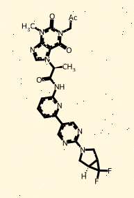 CC(=O)Cn1c(=O)c2c(ncn2[C@@H](C)C(=O)Nc2cccc(-c3cnc(N4CC5[C@H](C4)C5(F)F)nc3)n2)n(C)c1=O